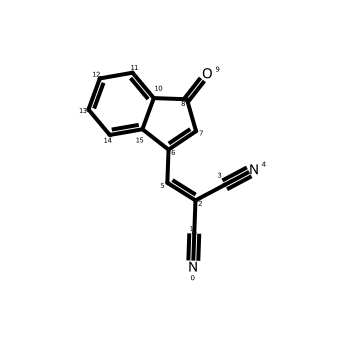 N#CC(C#N)=CC1=CC(=O)c2ccccc21